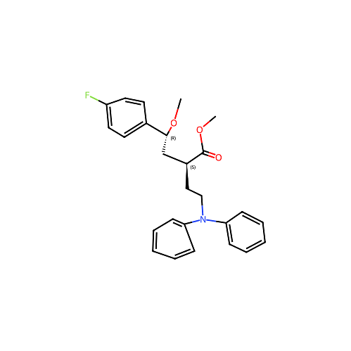 COC(=O)[C@@H](CCN(c1ccccc1)c1ccccc1)C[C@@H](OC)c1ccc(F)cc1